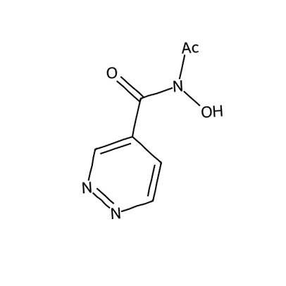 CC(=O)N(O)C(=O)c1ccnnc1